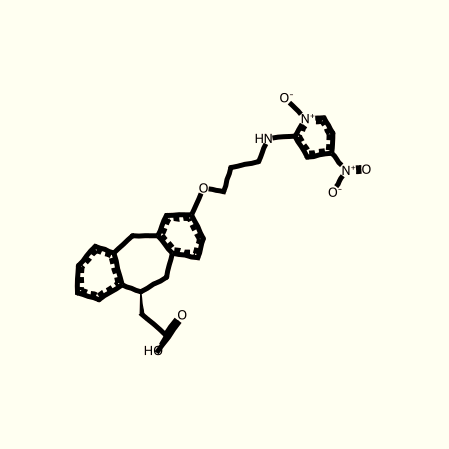 O=C(O)C[C@@H]1Cc2ccc(OCCCNc3cc([N+](=O)[O-])cc[n+]3[O-])cc2Cc2ccccc21